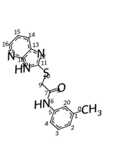 Cc1cccc(NC(=O)CSc2nc3cccnc3[nH]2)c1